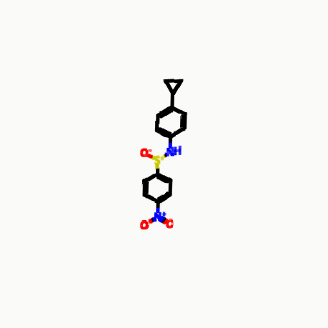 O=[N+]([O-])c1ccc([S+]([O-])Nc2ccc(C3CC3)cc2)cc1